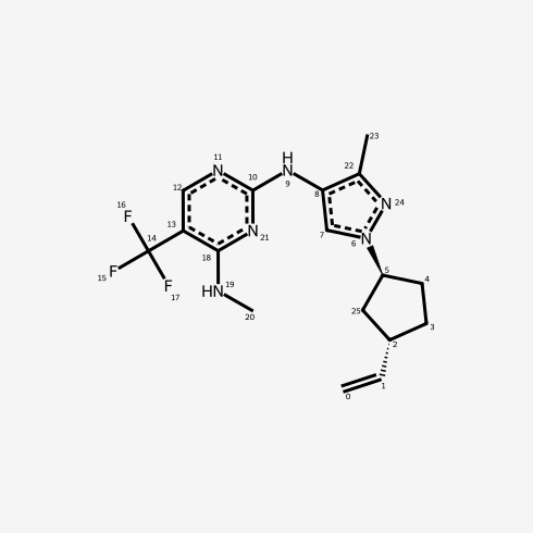 C=C[C@H]1CC[C@H](n2cc(Nc3ncc(C(F)(F)F)c(NC)n3)c(C)n2)C1